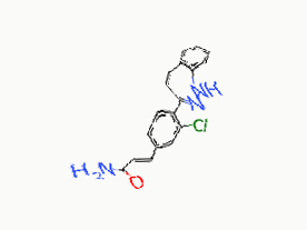 NC(=O)C=Cc1ccc(C2=NNc3ccccc3C=C2)c(Cl)c1